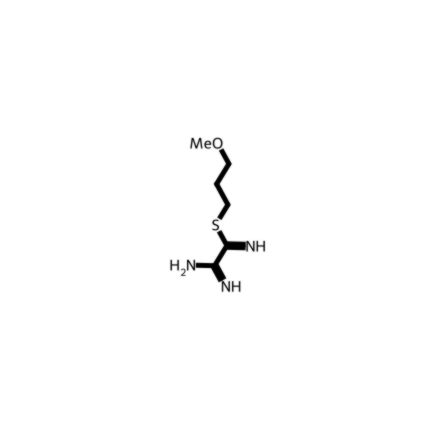 COCCCSC(=N)C(=N)N